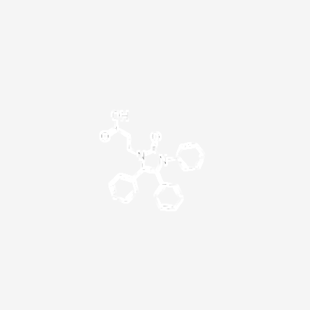 O=C(O)CCn1c(-c2ccccc2)c(-c2ccccc2)n(-c2ccccc2)c1=O